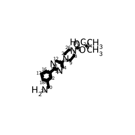 CC(C)(C)OC(=O)N1CCN(c2cnc(-c3cccc(CN)c3)nc2)CC1